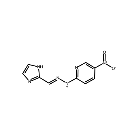 O=[N+]([O-])c1ccc(NN=Cc2ncc[nH]2)nc1